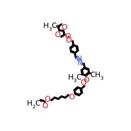 C=CC(=O)OCCCCCCOc1ccc(COOc2c(C)cc(/C=N/N=C/c3ccc(COO[C@@H]4COC5C4OC[C@@H]5C)cc3)cc2C)cc1